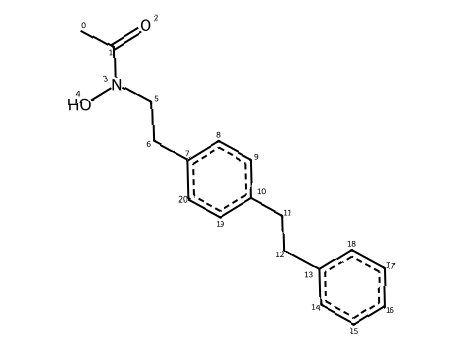 CC(=O)N(O)CCc1ccc(CCc2ccccc2)cc1